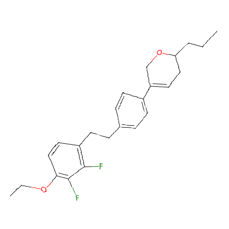 CCCC1CC=C(c2ccc(CCc3ccc(OCC)c(F)c3F)cc2)CO1